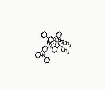 C=CC1=C(/C=C\C)C(C)(C)C2C1CCC[C@H]2N(C1=CC2C(C=C1)c1ccccc1N2c1ccccc1)c1cc(-c2ccccc2)cc(-c2ccccc2)c1